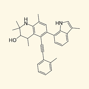 Cc1ccccc1C#Cc1c(-c2cccc3c(C)c[nH]c23)cc(C)c2c1C(C)C(O)C(C)(C)N2